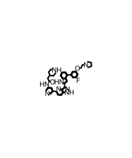 O=C(CC1CCNCC1)Nc1cncc(-c2ccc3[nH]nc(-c4cc5c(-c6cc(F)cc(OCCN7CCCC7)c6)cccc5[nH]4)c3n2)c1